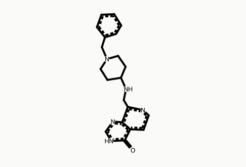 O=c1[nH]cnc2c(CNC3CCN(Cc4ccccc4)CC3)nccc12